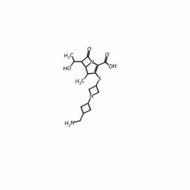 CC(O)C1C(=O)N2C(C(=O)O)=C(SC3CN(C4CC(CN)C4)C3)C(C)C12